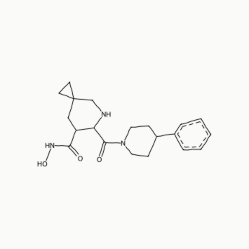 O=C(NO)C1CC2(CC2)CNC1C(=O)N1CCC(c2ccccc2)CC1